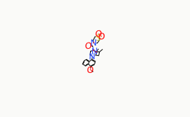 COc1ccc(N2CC3CC4(C)C2CC4(C)CN3C(=O)N2CCS(=O)(=O)CC2)c2ccccc12